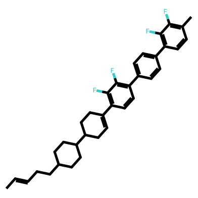 C/C=C/CCC1CCC(C2CC=C(c3ccc(-c4ccc(-c5ccc(C)c(F)c5F)cc4)c(F)c3F)CC2)CC1